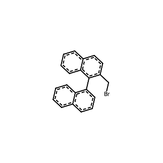 BrCc1ccc2ccccc2c1-c1cccc2ccccc12